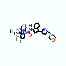 CC(C)(C)C1(N2CCOCC2)C=CC=CC1NC(=O)Nc1ccc(-c2ccc(CN3CCOCC3)nc2)c2ccccc12